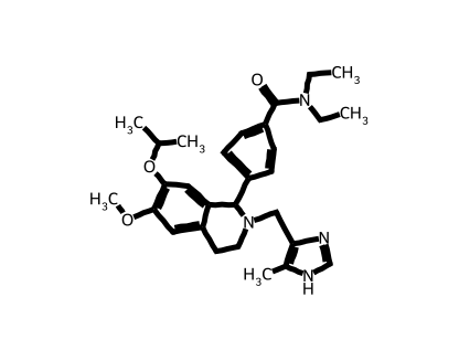 CCN(CC)C(=O)c1ccc(C2c3cc(OC(C)C)c(OC)cc3CCN2Cc2nc[nH]c2C)cc1